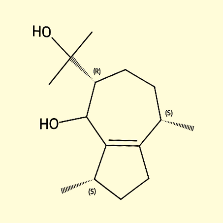 C[C@H]1CC[C@@H](C(C)(C)O)C(O)C2=C1CC[C@@H]2C